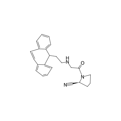 N#C[C@@H]1CCCN1C(=O)CNCCC1c2ccccc2C=Cc2ccccc21